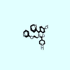 O=C(C1CCNCC1)N(CCOc1cccnc1)[C@H](c1ccc(Cl)cc1)c1ccccn1